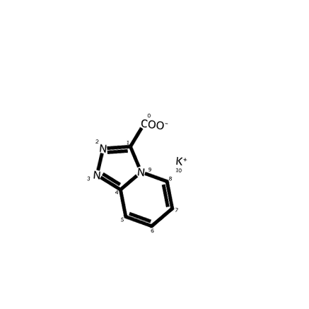 O=C([O-])c1nnc2ccccn12.[K+]